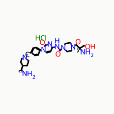 C[C@H](N)C1CCN(Cc2ccc(-n3ccc(NC(=O)N4CCN(C(=O)[C@@](C)(N)CO)CC4)nc3=O)cc2)CC1.Cl